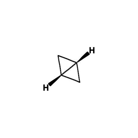 C1[C@H]2C[C@@H]12